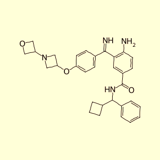 N=C(c1ccc(OC2CN(C3COC3)C2)cc1)c1cc(C(=O)NC(c2ccccc2)C2CCC2)ccc1N